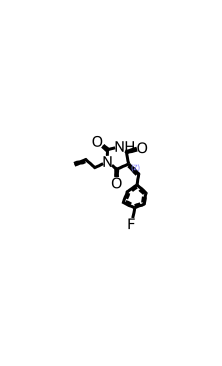 C=CCN1C(=O)NC(=O)/C(=C/c2ccc(F)cc2)C1=O